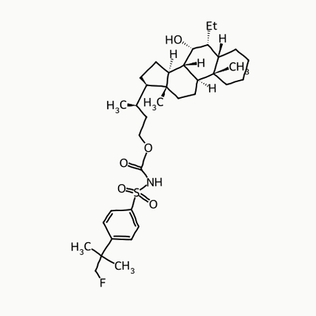 CC[C@H]1[C@@H](O)[C@@H]2[C@H](CC[C@]3(C)[C@@H]([C@H](C)CCOC(=O)NS(=O)(=O)c4ccc(C(C)(C)CF)cc4)CC[C@@H]23)[C@@]2(C)CCCC[C@@H]12